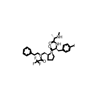 CN[C@@H](C)C(=O)N[C@@H](Cc1ccc(I)cc1)C(=O)N1CCC[C@H]1CN(CCc1ccccc1)C(=O)C(F)(F)F